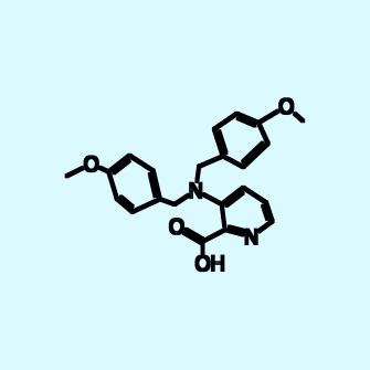 COc1ccc(CN(Cc2ccc(OC)cc2)c2cccnc2C(=O)O)cc1